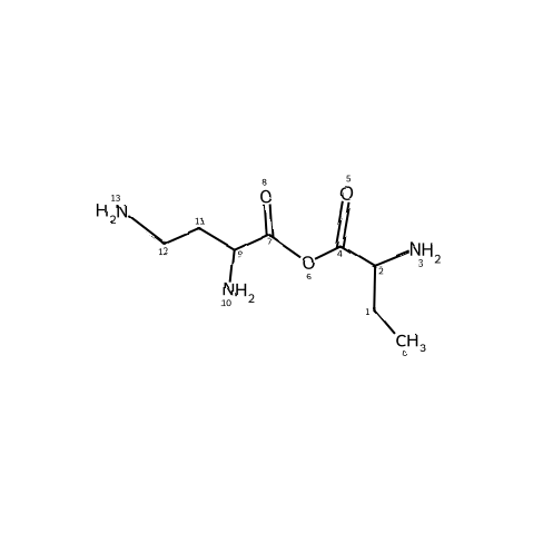 CCC(N)C(=O)OC(=O)C(N)CCN